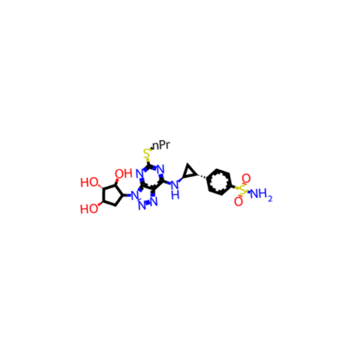 CCCSc1nc(N[C@H]2C[C@@H]2c2ccc(S(N)(=O)=O)cc2)c2nnn(C3C[C@@H](O)[C@H](O)C3O)c2n1